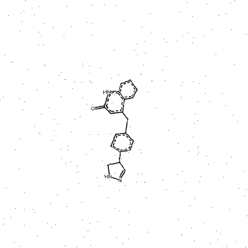 O=c1cc(Cc2ccc(C3C=NNC3)cc2)c2ccccc2[nH]1